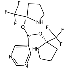 FC(F)(F)[C@@]1(OB(O[C@]2(C(F)(F)F)CCCN2)c2cncnc2)CCCN1